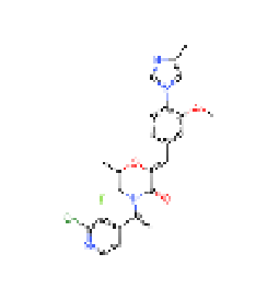 COc1cc(C=C2OC(C)CN([C@@H](C)c3ccnc(Cl)c3F)C2=O)ccc1-n1cnc(C)c1